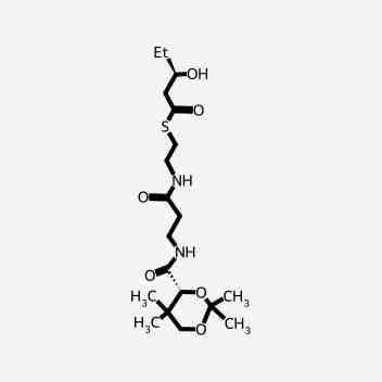 CC[C@@H](O)CC(=O)SCCNC(=O)CCNC(=O)[C@@H]1OC(C)(C)OCC1(C)C